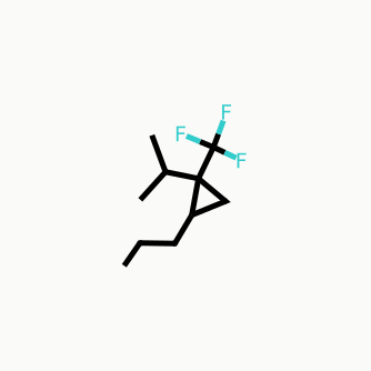 CCCC1CC1(C(C)C)C(F)(F)F